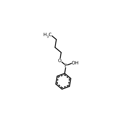 CCCCOP(O)c1ccccc1